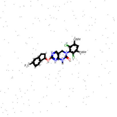 COc1cc(OC)c(Cl)c(N2Cc3cnc(OC4CCc5cc(C(F)(F)F)ccc54)nc3N(C)C2=O)c1Cl